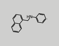 [c]1ccc(NCc2cccc3ccccc23)cc1